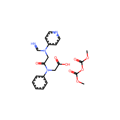 COC(=O)OC(=O)OC.N=CN(CC(=O)N(CC(=O)O)c1ccccc1)c1ccncc1